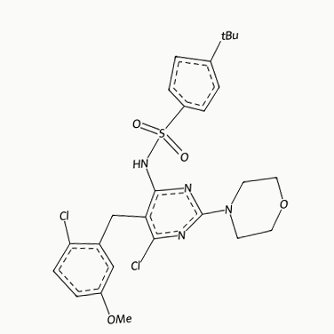 COc1ccc(Cl)c(Cc2c(Cl)nc(N3CCOCC3)nc2NS(=O)(=O)c2ccc(C(C)(C)C)cc2)c1